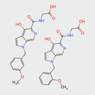 COc1cccc(Cn2ccc3c(O)c(C(=O)NCC(=O)O)ncc32)c1.COc1ccccc1Cn1ccc2c(O)c(C(=O)NCC(=O)O)ncc21